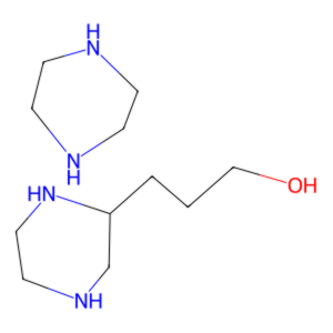 C1CNCCN1.OCCCC1CNCCN1